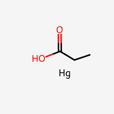 CCC(=O)O.[Hg]